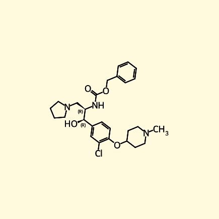 CN1CCC(Oc2ccc([C@@H](O)[C@@H](CN3CCCC3)NC(=O)OCc3ccccc3)cc2Cl)CC1